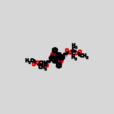 C=CC(=O)OCC(C)(C)COC(=O)/C=C/c1cccc2c(-c3c(P(=O)(c4ccccc4)c4ccccc4)ccc4c(/C=C/C(=O)OCC(C)(C)COC(=O)C=C)cccc34)c(P(=O)(c3ccccc3)c3ccccc3)ccc12